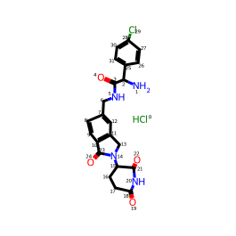 Cl.NC(C(=O)NCc1ccc2c(c1)CN(C1CCC(=O)NC1=O)C2=O)c1ccc(Cl)cc1